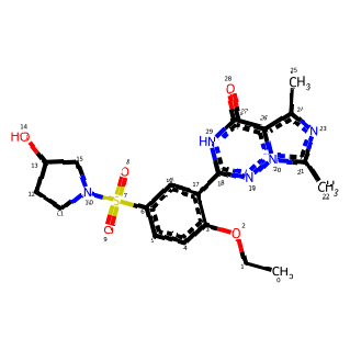 CCOc1ccc(S(=O)(=O)N2CCC(O)C2)cc1-c1nn2c(C)nc(C)c2c(=O)[nH]1